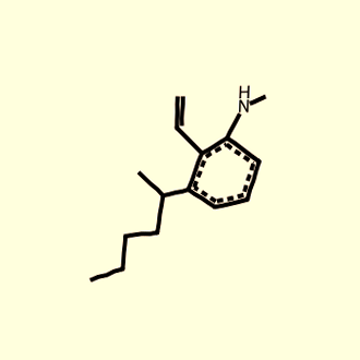 C=Cc1c(NC)cccc1C(C)CCCC